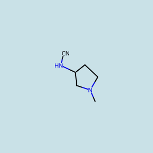 CN1CCC(NC#N)C1